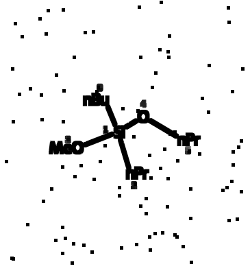 CCCC[Si](CCC)(OC)OCCC